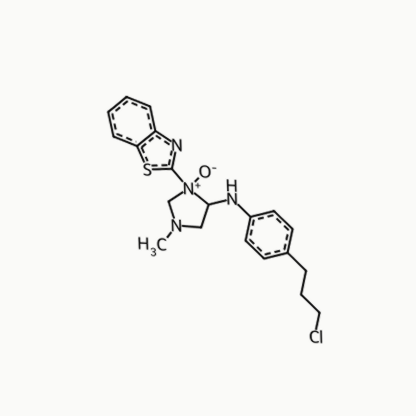 CN1CC(Nc2ccc(CCCCl)cc2)[N+]([O-])(c2nc3ccccc3s2)C1